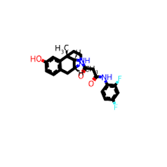 CN1CC[C@@]2(C)c3cc(O)ccc3C[C@@H]1[C@@H]2NC(=O)CC(=O)Nc1ccc(F)cc1F